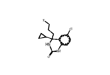 O=C1Nc2ccc(Cl)cc2C(CCCF)(C2CC2)N1